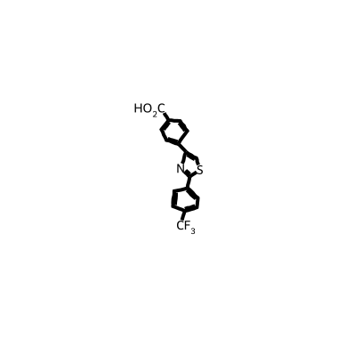 O=C(O)c1ccc(-c2csc(-c3ccc(C(F)(F)F)cc3)n2)cc1